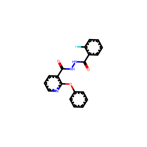 O=C(NNC(=O)c1cccnc1Oc1ccccc1)c1ccccc1F